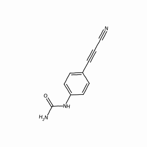 N#CC#Cc1ccc(NC(N)=O)cc1